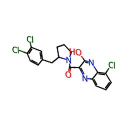 O=C(c1nc2cccc(Cl)c2nc1O)N1CCCC1Cc1ccc(Cl)c(Cl)c1